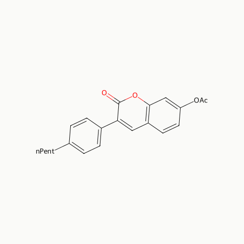 CCCCCc1ccc(-c2cc3ccc(OC(C)=O)cc3oc2=O)cc1